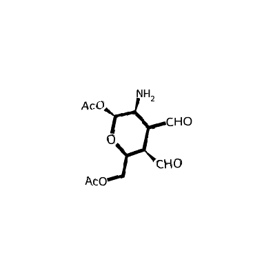 CC(=O)OCC1O[C@@H](OC(C)=O)[C@@H](N)C(C=O)[C@H]1C=O